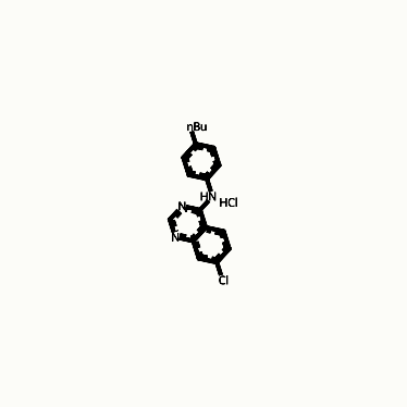 CCCCc1ccc(Nc2ncnc3cc(Cl)ccc23)cc1.Cl